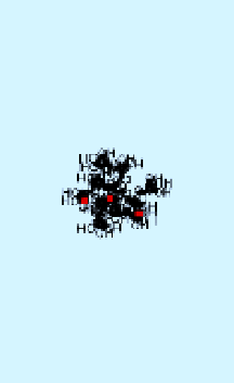 O=C(Oc1cc(C(=O)OC2O[C@H](OC(=O)c3cc(O)c(O)c(OC(=O)c4cc(O)c(O)c(O)c4)c3)[C@@H](OC(=O)c3cc(O)c(O)c(OC(=O)c4cc(O)c(O)c(O)c4)c3)[C@H](OC(=O)c3cc(O)c(O)c(OC(=O)c4cc(O)c(O)c(O)c4)c3)[C@H]2OC(=O)c2cc(O)c(O)c(OC(=O)c3cc(O)c(O)c(O)c3)c2)cc(O)c1O)c1cc(O)c(O)c(O)c1